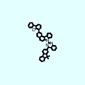 CC1(C)c2ccccc2-c2ccc(-c3nc(-n4c5ccccc5c5c6cc(-c7cccc8c7oc7ccccc78)ccc6ccc54)nc4ccccc34)cc21